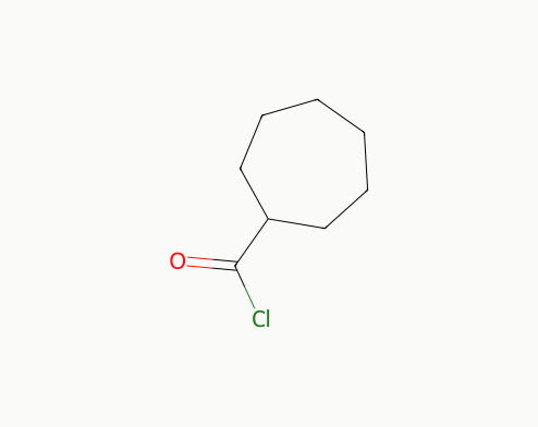 O=C(Cl)C1CCCCCC1